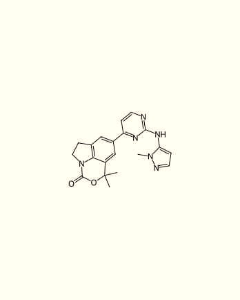 Cn1nccc1Nc1nccc(-c2cc3c4c(c2)C(C)(C)OC(=O)N4CC3)n1